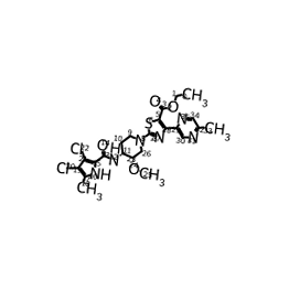 CCOC(=O)c1sc(N2CC[C@@H](NC(=O)c3[nH]c(C)c(Cl)c3Cl)[C@@H](OC)C2)nc1-c1cnc(C)cn1